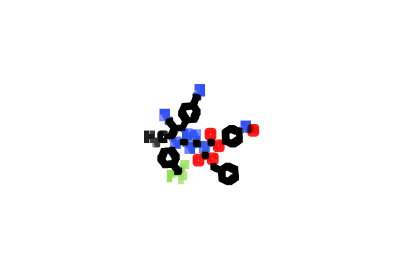 CC1=C(C#N)[C@@H](c2ccc(C#N)cc2)n2nc(N(C(=O)OCc3ccccc3)C(=O)Oc3ccc(N=O)cc3)nc2N1c1cccc(C(F)(F)F)c1